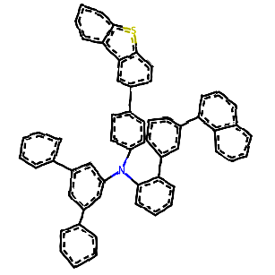 c1ccc(-c2cc(-c3ccccc3)cc(N(c3ccc(-c4ccc5sc6ccccc6c5c4)cc3)c3ccccc3-c3cccc(-c4cccc5ccccc45)c3)c2)cc1